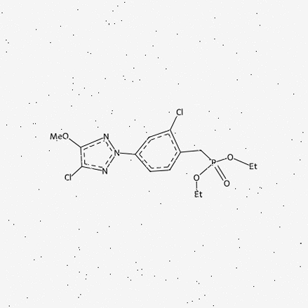 CCOP(=O)(Cc1ccc(-n2nc(Cl)c(OC)n2)cc1Cl)OCC